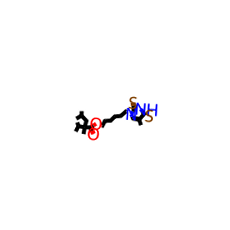 Cc1cn(CCCCCCOC(=O)C(C)(CC(C)C)C(C)C)c(=S)[nH]c1=S